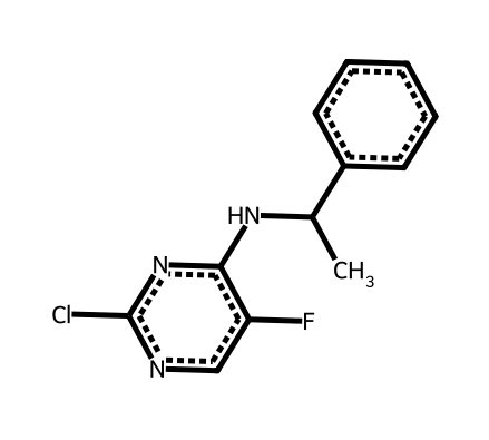 CC(Nc1nc(Cl)ncc1F)c1ccccc1